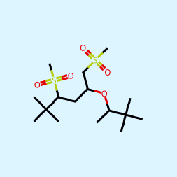 CC(OC(CC(C(C)(C)C)S(C)(=O)=O)CS(C)(=O)=O)C(C)(C)C